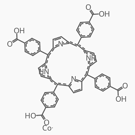 O=C(O)c1ccc(-c2c3nc(c(-c4ccc(C(=O)O)cc4)c4ccc([nH]4)c(-c4ccc(C(=O)O)cc4)c4nc(c(-c5ccc(C(=O)O)cc5)c5ccc2[nH]5)C=C4)C=C3)cc1.[Co]